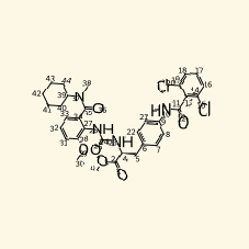 COC(=O)[C@H](Cc1ccc(NC(=O)c2c(Cl)cccc2Cl)cc1)NC(=O)Nc1c(OC)cccc1C(=O)N(C)C1CCCCC1